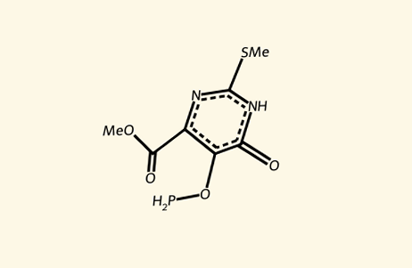 COC(=O)c1nc(SC)[nH]c(=O)c1OP